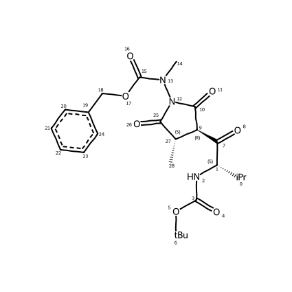 CC(C)[C@H](NC(=O)OC(C)(C)C)C(=O)[C@@H]1C(=O)N(N(C)C(=O)OCc2ccccc2)C(=O)[C@H]1C